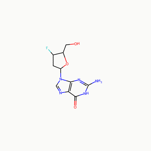 Nc1nc2c(ncn2C2CC(F)C(CO)O2)c(=O)[nH]1